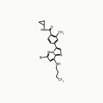 Cc1cc(-c2cnc3c(NCCCC(F)(F)F)cc(Br)nn23)ccc1C(=O)NC1CC1